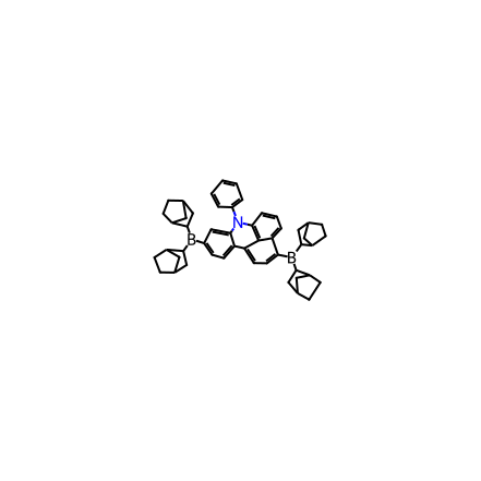 c1ccc(N2c3cc(B(C4CC5CCC4C5)C4CC5CCC4C5)ccc3-c3ccc(B(C4CC5CCC4C5)C4CC5CCC4C5)c4cccc2c34)cc1